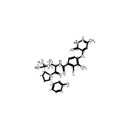 Cc1cc(Oc2ccc(C(=O)NC(C)C(=O)N3[C@H](c4cccc(Cl)c4)CC[C@@H]3C(C)(C)C#N)c(F)c2C)c(=O)[nH]n1